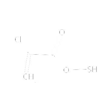 C=C(Cl)C(=O)OS